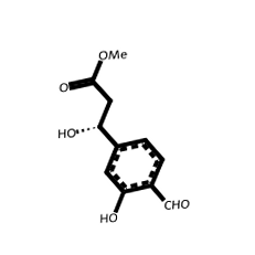 COC(=O)C[C@@H](O)c1ccc(C=O)c(O)c1